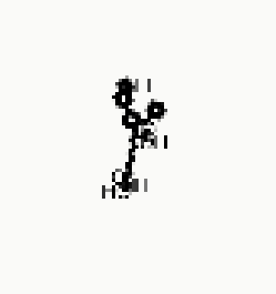 O=C(CCCCCCN(C(=O)O)c1ccc(-c2ccc3cc[nH]c3c2)cc1Cc1ccccc1)NO